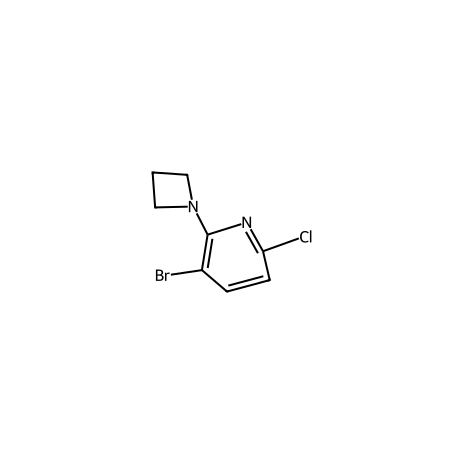 Clc1ccc(Br)c(N2CCC2)n1